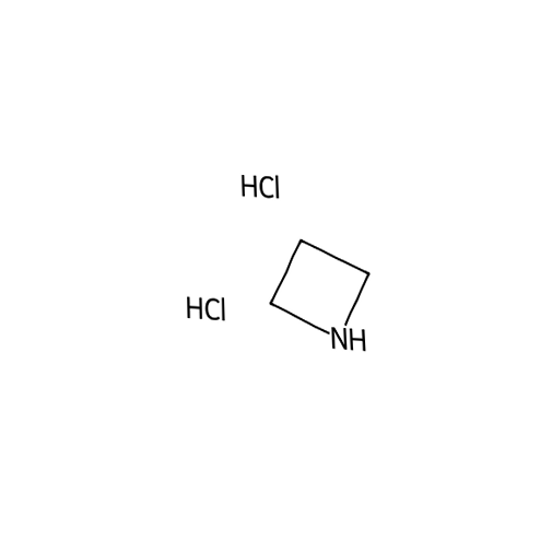 C1CNC1.Cl.Cl